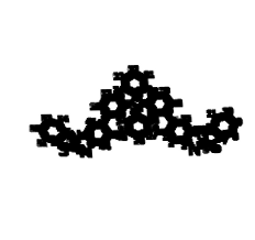 Cc1cc2nc3sc4ccccc4n3c2cc1-c1cccc([Si](c2ccccc2)(c2ccccc2)c2cccc(-c3cc4c(cc3C)nc3sc5ccccc5n34)c2)c1